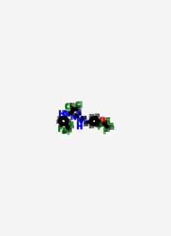 Fc1ccc(Nc2nc(N/N=C/c3ccc(OC(F)(F)C(F)F)cc3)nc(Cl)c2Cl)cc1C(F)(F)F